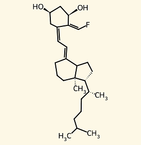 CC(C)CCC[C@@H](C)[C@H]1CCC2C(=C/C=C3/C[C@@H](O)C[C@@H](O)C3=CF)CCC[C@@]21C